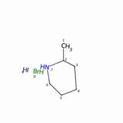 Br.CC1CCCCN1.I